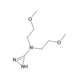 COCCN(CCOC)C1=NN1